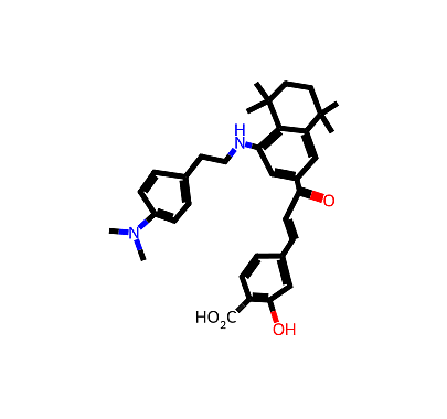 CN(C)c1ccc(CCNc2cc(C(=O)C=Cc3ccc(C(=O)O)c(O)c3)cc3c2C(C)(C)CCC3(C)C)cc1